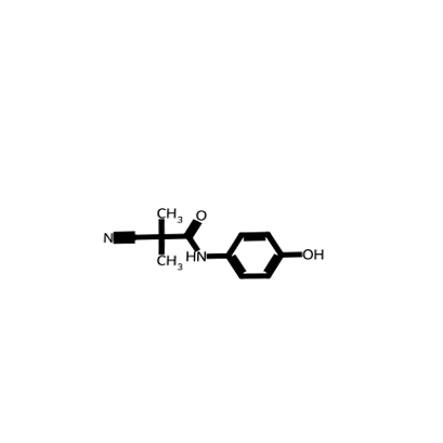 CC(C)(C#N)C(=O)Nc1ccc(O)cc1